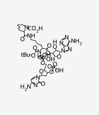 CC(C)(C)OC(=O)N[C@@H](CCCCNC(=O)C1CSCN1C(=O)O)C(=O)O[C@H]1[C@@H](O)[C@H](n2cnc3c(N)ncnc32)O[C@@H]1COP(=O)(O)OC1CC(n2ccc(N)nc2=O)OC1COP(=O)(O)O